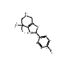 CC1(C)CNCC2=C1NC(c1ccc(F)cc1)S2